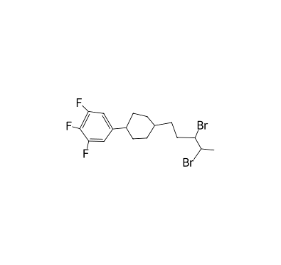 CC(Br)C(Br)CCC1CCC(c2cc(F)c(F)c(F)c2)CC1